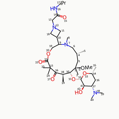 CO[C@]1(C)C[C@@H](C)CN(C)C(C2CN(CC(=O)NC(C)C)C2)COC(=O)C(C)(C)C(=O)[C@H](C)[C@H]1O[C@@H]1O[C@H](C)C[C@H](N(C)C)[C@H]1O